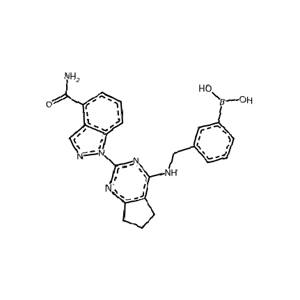 NC(=O)c1cccc2c1cnn2-c1nc2c(c(NCc3cccc(B(O)O)c3)n1)CCC2